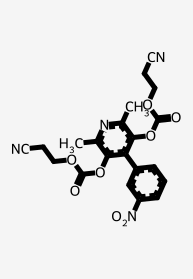 Cc1nc(C)c(OC(=O)OCCC#N)c(-c2cccc([N+](=O)[O-])c2)c1OC(=O)OCCC#N